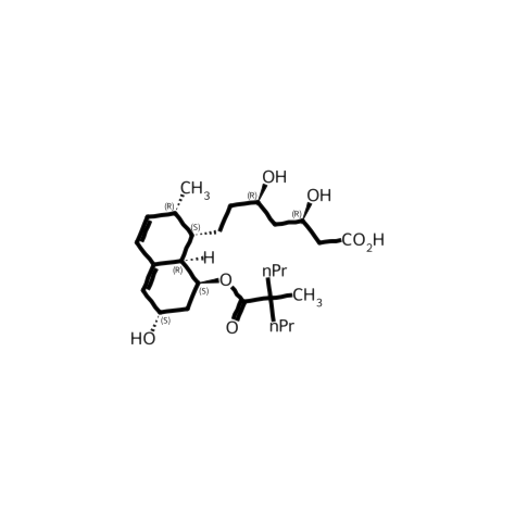 CCCC(C)(CCC)C(=O)O[C@H]1C[C@H](O)C=C2C=C[C@H](C)[C@H](CC[C@@H](O)C[C@@H](O)CC(=O)O)[C@H]21